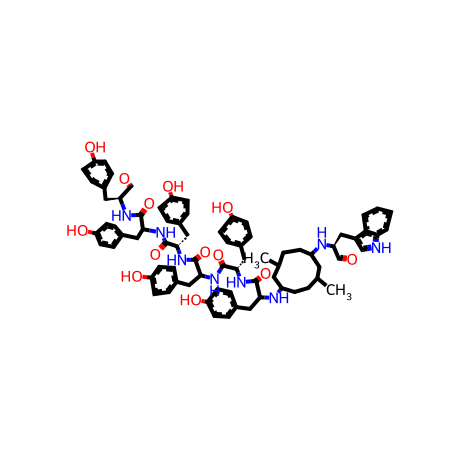 CC1CCC(N[C@H](C=O)Cc2c[nH]c3ccccc23)CC(C)CCC(NC(Cc2ccc(O)cc2)C(=O)N[C@@H](Cc2ccc(O)cc2)C(=O)NC(Cc2ccc(O)cc2)C(=O)N[C@@H](Cc2ccc(O)cc2)C(=O)NC(Cc2ccc(O)cc2)C(=O)N[C@H](C=O)Cc2ccc(O)cc2)C1